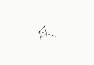 IS12C=C1C2